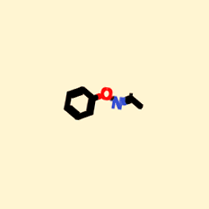 C/[C]=N/Oc1ccccc1